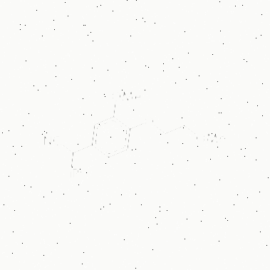 COCCOc1ccc(C(C#N)C(C)C)cc1OC